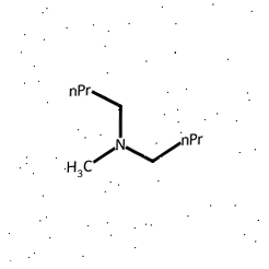 [CH2]CCCN(C)CCCC